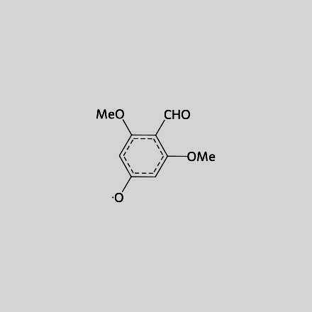 COc1cc([O])cc(OC)c1C=O